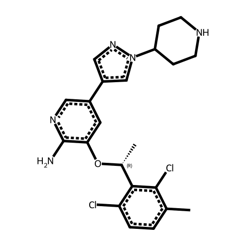 Cc1ccc(Cl)c([C@@H](C)Oc2cc(-c3cnn(C4CCNCC4)c3)cnc2N)c1Cl